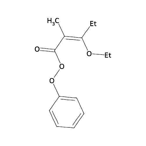 CCOC(CC)=C(C)C(=O)OOc1ccccc1